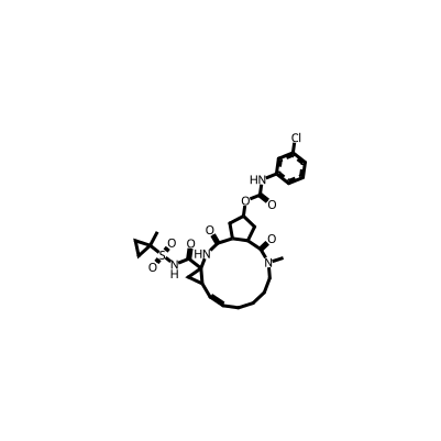 CN1CCCCC=CC2CC2(C(=O)NS(=O)(=O)C2(C)CC2)NC(=O)C2CC(OC(=O)Nc3cccc(Cl)c3)CC2C1=O